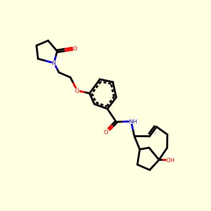 O=C(NC1/C=C/CCC2(O)CCC1C2)c1cccc(OCCN2CCCC2=O)c1